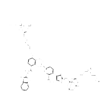 Cc1c(-c2ccc(N3CCc4c(OCCNCCC(=O)OC(C)(C)C)ccc(C(=O)Nc5nc6ccccc6s5)c4C3)nc2C(=O)O)cnn1CC12CC3(C)CC(C)(C1)CC(OCCN(C)CCS(=O)(=O)O)(C3)C2